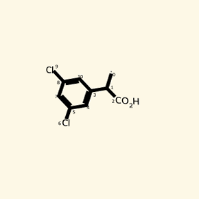 [CH2]C(C(=O)O)c1cc(Cl)cc(Cl)c1